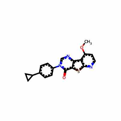 COc1ccnc2sc3c(=O)n(-c4ccc(C5CC5)cc4)cnc3c12